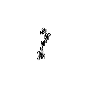 COc1cc(-c2cn(C)c(=O)c3cnccc23)cc(OC)c1CN1CCC(OCc2cn(CCCOc3ccc4c(c3)C(=O)N(C3CCC(=O)NC3=O)C4=O)nn2)CC1